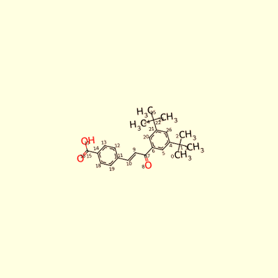 CC(C)(C)c1cc(C(=O)C=Cc2ccc(C(=O)O)cc2)cc(C(C)(C)C)c1